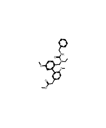 CCN(Cc1ccc(OC)cc1-c1cc(CC(=O)OC)ccc1OC)C(=O)NCc1ccccc1